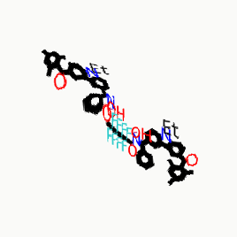 CCn1c2ccc(C(=O)c3c(C)cc(C)cc3C)cc2c2cc(C(=NO)c3ccccc3OCC(F)(F)C(F)(F)C(F)(F)C(F)(F)COc3ccccc3C(=NO)c3ccc4c(c3)c3cc(C(=O)c5c(C)cc(C)cc5C)ccc3n4CC)ccc21